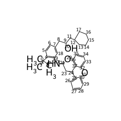 CC(C)(C)c1ccc(CC(O)CC2CCCCC2)cc1NC(=O)CC1c2ccccc2Oc2ccccc21